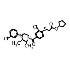 CC1[C@@H](C)N(c2cccc(Cl)c2)CCN1C(=O)c1ccc(SCC(=O)OC2CCCC2)c(Cl)c1